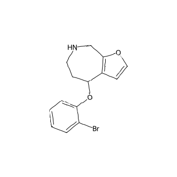 Brc1ccccc1OC1CCNCc2occc21